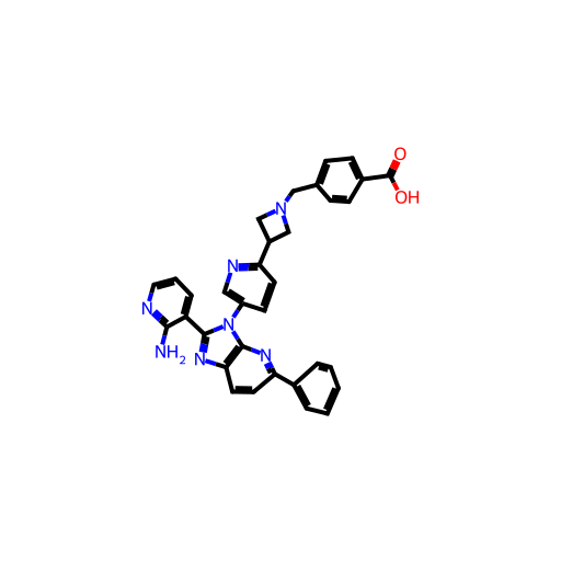 Nc1ncccc1-c1nc2ccc(-c3ccccc3)nc2n1-c1ccc(C2CN(Cc3ccc(C(=O)O)cc3)C2)nc1